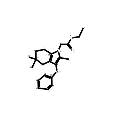 CCOC(=O)Cn1c(C)c(Sc2ccccc2)c2c1CCC(C)(C)C2